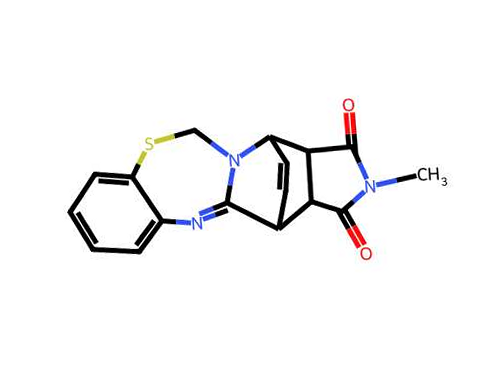 CN1C(=O)C2C3C=CC(C2C1=O)N1CSc2ccccc2N=C31